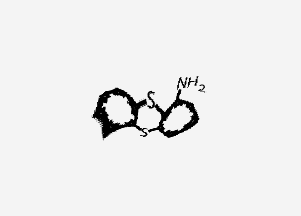 Nc1cccc2c1Sc1ccccc1S2